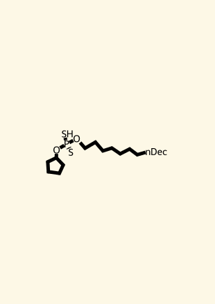 CCCCCCCCCCCCCCCCCOP(=S)(S)OC1CCCC1